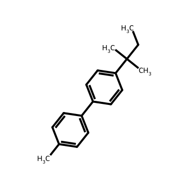 CCC(C)(C)c1ccc(-c2ccc(C)cc2)cc1